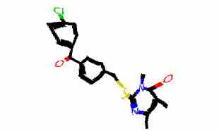 Cc1nc(SCc2ccc(C(=O)c3ccc(Cl)cc3)cc2)n(C)c(=O)c1C